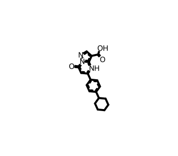 O=C(O)c1cnn2c(=O)cc(-c3ccc(C4CCCCC4)cc3)[nH]c12